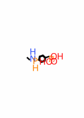 CCNPc1ccc(CP(=O)(O)O)cc1